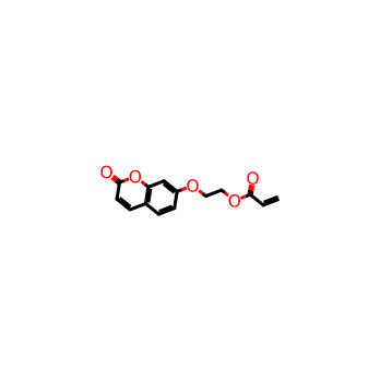 C=CC(=O)OCCOc1ccc2ccc(=O)oc2c1